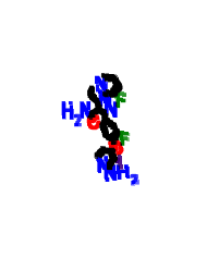 CCc1c(C(N)=O)c(-c2ccc(Oc3ccnc(N)c3I)c(F)c2)nn1-c1ncccc1F